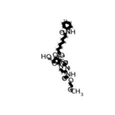 COCCOC(=O)Nc1ccn([C@@H]2O[C@H](CO)[C@@H](OC(=O)CCCCCCC(=O)Nc3ccccc3)C2(F)F)c(=O)n1